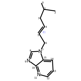 CC(C)C/C=C/Cn1cnc2ncccc21